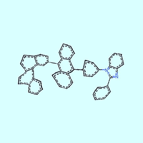 c1ccc(-c2nc3ccccc3n2-c2ccc(-c3c4ccccc4c(-c4ccc5ccc6ccc7ccccc7c6c5c4)c4ccccc34)cc2)cc1